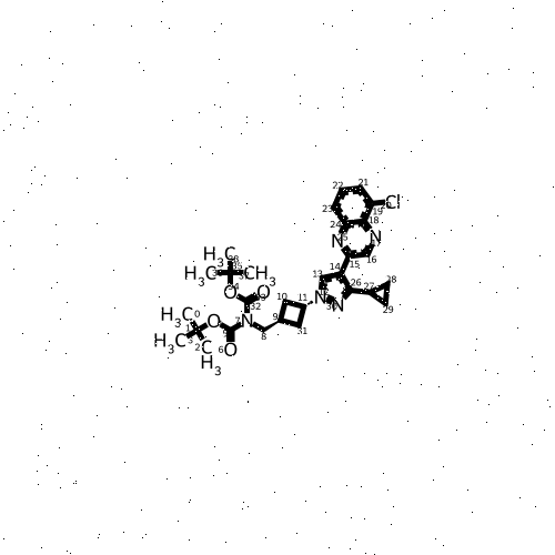 CC(C)(C)OC(=O)N(C[C@H]1C[C@H](n2cc(-c3cnc4c(Cl)cccc4n3)c(C3CC3)n2)C1)C(=O)OC(C)(C)C